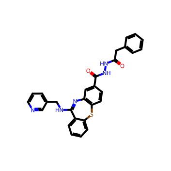 O=C(Cc1ccccc1)NNC(=O)c1ccc2c(c1)N=C(NCc1cccnc1)c1ccccc1S2